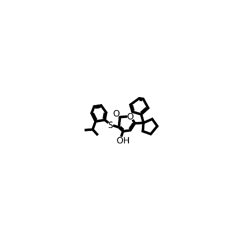 CC(C)c1ccccc1Sc1c(O)cc(C2(c3ccccc3)CCCC2)oc1=O